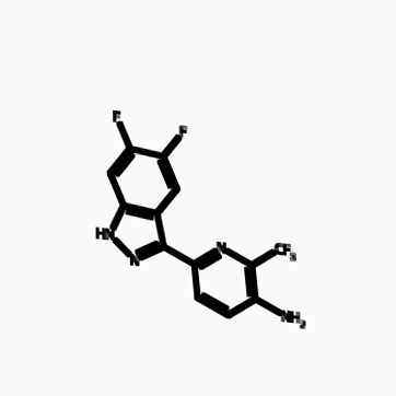 Nc1ccc(-c2n[nH]c3cc(F)c(F)cc23)nc1C(F)(F)F